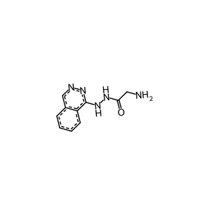 NCC(=O)NNc1nncc2ccccc12